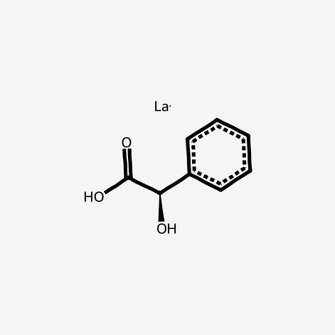 O=C(O)[C@H](O)c1ccccc1.[La]